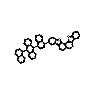 c1ccc2c(-c3c4ccccc4c(-c4ccc(-c5ccc6sc7c(ccc8ccc9c%10ccccc%10sc9c87)c6c5)c5ccccc45)c4ccccc34)cccc2c1